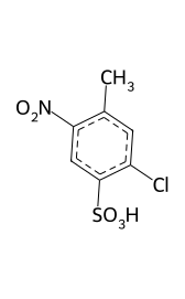 Cc1cc(Cl)c(S(=O)(=O)O)cc1[N+](=O)[O-]